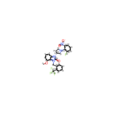 COc1cccc2c1n(Cc1ccccc1C(F)(F)F)c(=O)n2[C@@H]1CCN(c2c(F)cccc2[N+](=O)[O-])C1